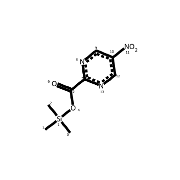 C[Si](C)(C)OC(=O)c1ncc([N+](=O)[O-])cn1